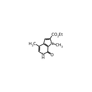 CCOC(=O)c1cc2c(C)c[nH]c(=O)c2n1C